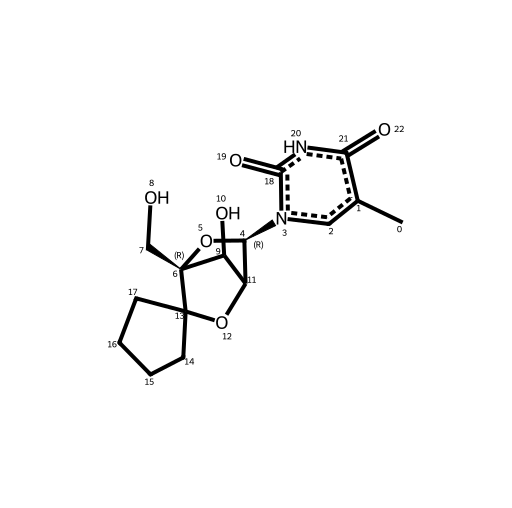 Cc1cn([C@@H]2O[C@]3(CO)C(O)C2OC32CCCC2)c(=O)[nH]c1=O